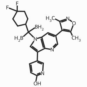 BC(B)(C1CCC(F)(F)CC1)n1cc(-c2ccc(O)nc2)c2ncc(-c3c(C)noc3C)cc21